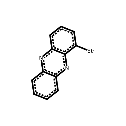 C[CH]c1cccc2nc3ccccc3nc12